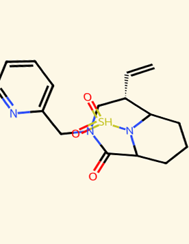 C=C[C@H]1CN(Cc2ccccn2)C(=O)C2CCCC1N2[SH](=O)=O